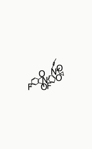 CC#CCN1C(=O)C2(CC2)Oc2cc(F)c(N3C(=O)c4ccc(F)cc4C3=O)cc21